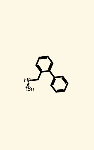 CC(C)(C)PCc1ccccc1-c1ccccc1